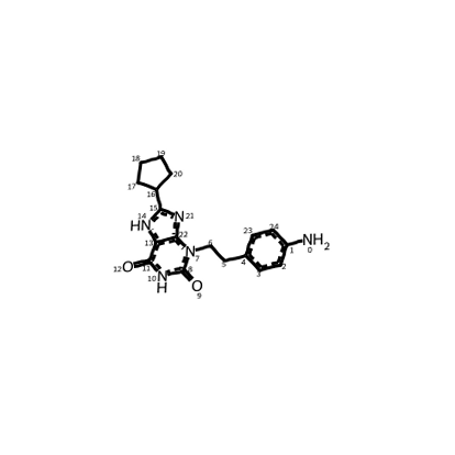 Nc1ccc(CCn2c(=O)[nH]c(=O)c3[nH]c(C4CCCC4)nc32)cc1